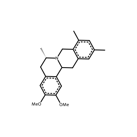 COc1cc2c(cc1OC)C1Cc3cc(C)cc(C)c3CN1[C@@H](C)C2